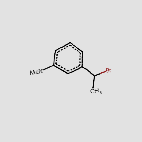 CNc1cccc(C(C)Br)c1